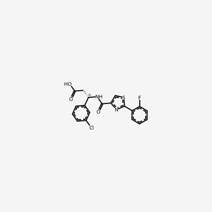 O=C(O)C[C@H](NC(=O)c1csc(-c2ccccc2F)n1)c1cccc(Cl)c1